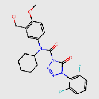 COc1ccc(N(C(=O)n2nnn(-c3c(F)cccc3F)c2=O)C2CCCCC2)cc1CO